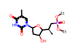 CCOP(=O)(C[C@@H](C)C1OC(n2cc(C)c(=O)[nH]c2=O)C[C@@H]1O)OCC